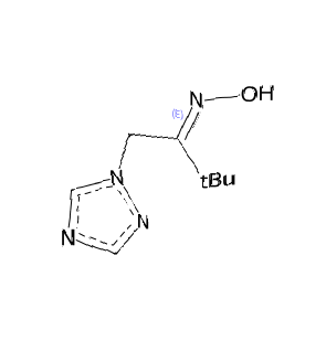 CC(C)(C)/C(Cn1cncn1)=N\O